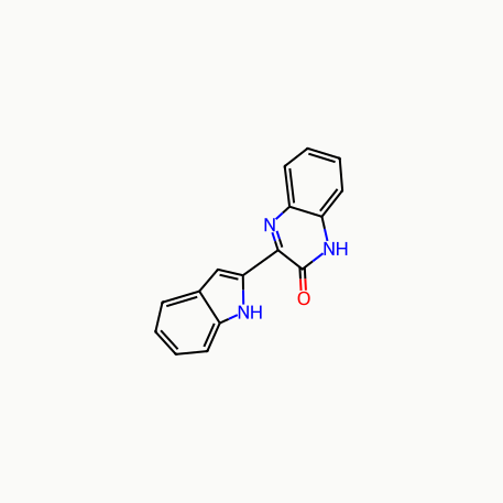 O=c1[nH]c2ccccc2nc1-c1cc2ccccc2[nH]1